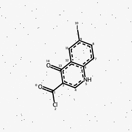 O=C(Cl)c1c[nH]c2ccc(I)cc2c1=O